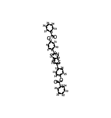 O=C(Oc1ccc(-c2nc3sc(-c4ccc(OC(=O)c5ccccc5)cc4)nc3s2)cc1)c1ccccc1